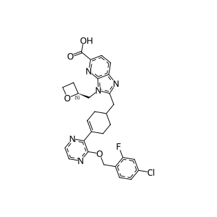 O=C(O)c1ccc2nc(CC3CC=C(c4nccnc4OCc4ccc(Cl)cc4F)CC3)n(C[C@@H]3CCO3)c2n1